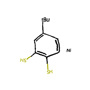 CC(C)(C)c1ccc(S)c(S)c1.[Ni]